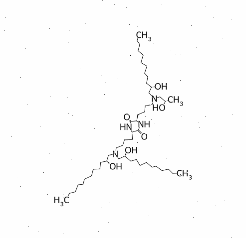 CCCCCCCCCC[C@H](O)CN(CCCC[C@H]1NC(=O)[C@@H](CCCCN(C[C@@H](O)CCCCCCCCCC)C[C@H](C)O)NC1=O)C[C@@H](O)CCCCCCCCCC